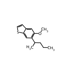 CCCC(C)c1cc2sccc2cc1OC